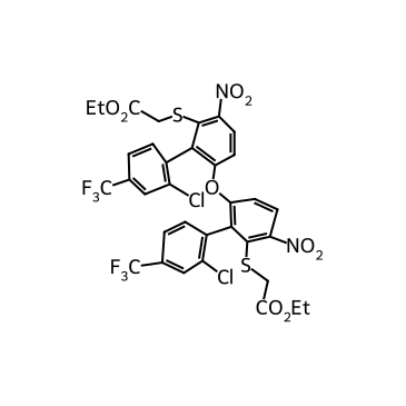 CCOC(=O)CSc1c([N+](=O)[O-])ccc(Oc2ccc([N+](=O)[O-])c(SCC(=O)OCC)c2-c2ccc(C(F)(F)F)cc2Cl)c1-c1ccc(C(F)(F)F)cc1Cl